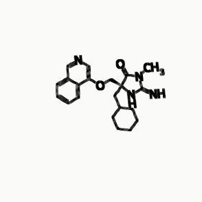 CN1C(=N)N[C@](COc2cncc3ccccc23)(CC2CCCCC2)C1=O